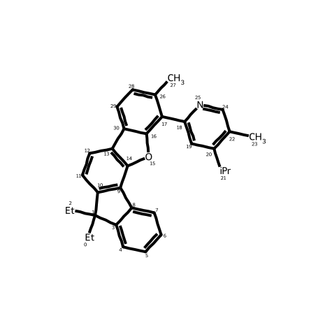 CCC1(CC)c2ccccc2-c2c1ccc1c2oc2c(-c3cc(C(C)C)c(C)cn3)c(C)ccc21